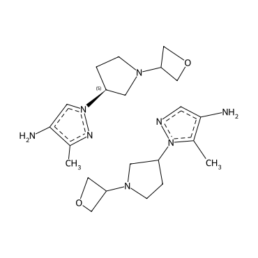 Cc1c(N)cnn1C1CCN(C2COC2)C1.Cc1nn([C@H]2CCN(C3COC3)C2)cc1N